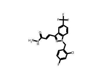 NNC(=O)C=Cc1nn(Cc2ccc(F)cc2Cl)c2ccc(C(F)(F)F)cc12